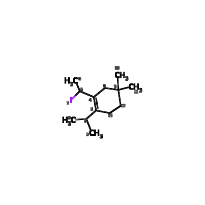 CC(C)C1=C(C(C)I)CC(C)(C)CC1